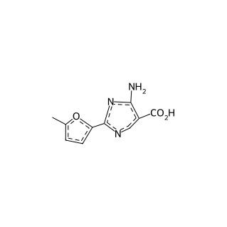 Cc1ccc(-c2ncc(C(=O)O)c(N)n2)o1